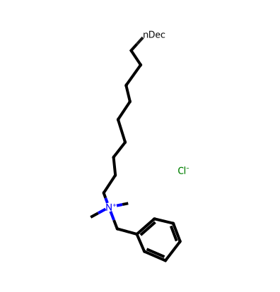 CCCCCCCCCCCCCCCCCCC[N+](C)(C)Cc1ccccc1.[Cl-]